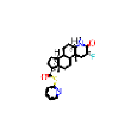 CN1C(=O)[C@H](F)C[C@]2(C)C3CC[C@]4(C)[C@@H](C(=O)Sc5ccccn5)CC[C@H]4C3CC[C@@H]12